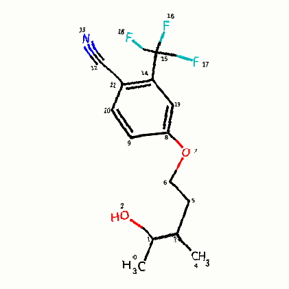 CC(O)C(C)CCOc1ccc(C#N)c(C(F)(F)F)c1